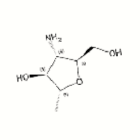 C[C@H]1O[C@H](CO)[C@@H](N)[C@@H]1O